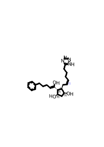 OC(=CCCCc1ccccc1)[C@@H]1[C@@H](C/C=C\CCCc2nnn[nH]2)[C@@H](O)C[C@H]1O